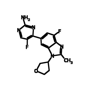 Cc1nc2c(F)cc(-c3nc(N)ncc3F)cc2n1C1CCOC1